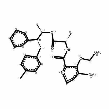 COc1ccnc(C(=O)N[C@@H](C)C(=O)O[C@@H](C)[C@H](Cc2ccc(C)cc2)c2ccccc2)c1OCOC(C)=O